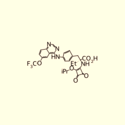 CC[C@@](Cc1ccc(Nc2ncnc3ccc(OC(F)(F)F)cc23)cc1)(Nc1c(OC(C)C)c(=O)c1=O)C(=O)O